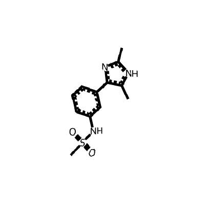 Cc1nc(-c2cccc(NS(C)(=O)=O)c2)c(C)[nH]1